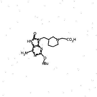 CCCCOc1nc(N)c2[nH]c(=O)n(CC3CCCN(CC(=O)O)C3)c2n1